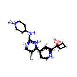 CC(=O)N1CCC(Nc2ncc(F)c(-c3ccnc(C4(O)CCC4)c3)n2)CC1